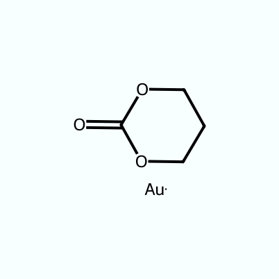 O=C1OCCCO1.[Au]